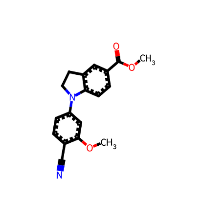 COC(=O)c1ccc2c(c1)CCN2c1ccc(C#N)c(OC)c1